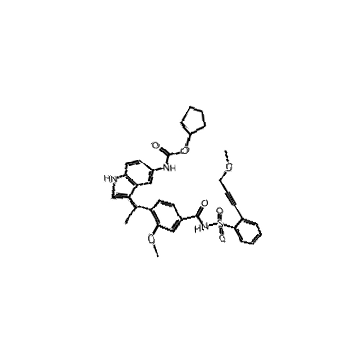 COCC#Cc1ccccc1S(=O)(=O)NC(=O)c1ccc(C(C)c2c[nH]c3ccc(NC(=O)OC4CCCC4)cc23)c(OC)c1